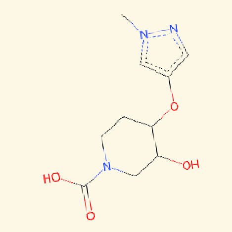 Cn1cc(OC2CCN(C(=O)O)CC2O)cn1